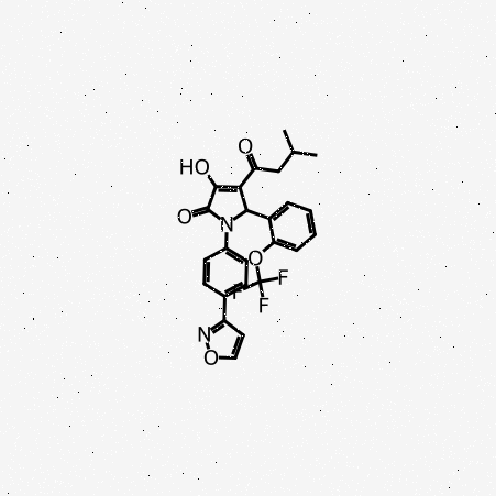 CC(C)CC(=O)C1=C(O)C(=O)N(c2ccc(-c3ccon3)cc2)C1c1ccccc1OC(F)(F)F